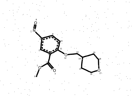 COC(=O)c1cc(N=O)ccc1OCC1CCOCC1